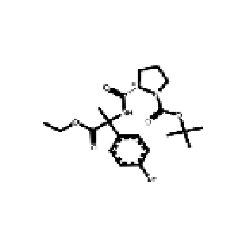 CCOC(=O)C(C)(NC(=O)[C@@H]1CCCN1C(=O)OC(C)(C)C)c1ccc(Br)cc1